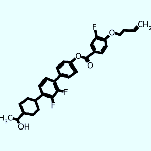 C=CCCOc1ccc(C(=O)Oc2ccc(-c3ccc(C4CCC(C(C)O)CC4)c(F)c3F)cc2)cc1F